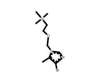 Cc1c(Br)ncn1COCC[Si](C)(C)C